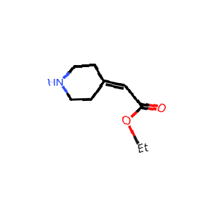 CCOC(=O)C=C1CCNCC1